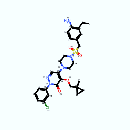 CCc1cc(CS(=O)(=O)N2CCN(c3cnn(-c4cccc(Cl)c4)c(=O)c3OCC3(C)CC3)CC2)ccc1N